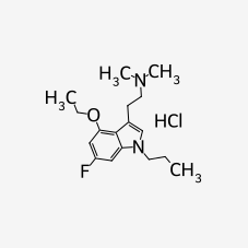 CCCn1cc(CCN(C)C)c2c(OCC)cc(F)cc21.Cl